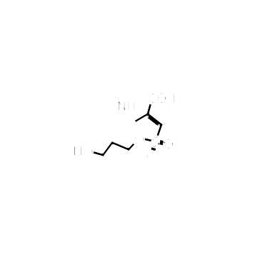 CC(=CS(=O)(=O)OCCCO)C(=O)O.N